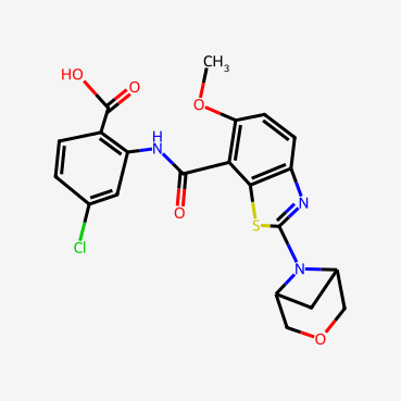 COc1ccc2nc(N3C4COCC3C4)sc2c1C(=O)Nc1cc(Cl)ccc1C(=O)O